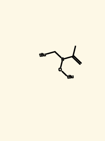 C=C(C)B(CC(C)(C)C)OC(C)(C)C